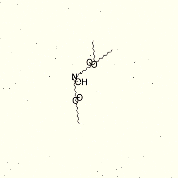 CCCCCCCCCOC(=O)CCCCCC(O)CN(C)CCCCCCCC(=O)OC(CCCCCCCC)CCCCCCCC